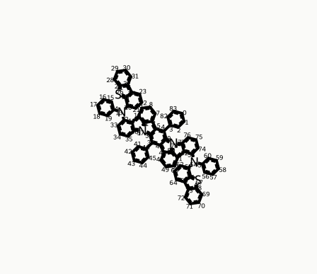 c1ccc(-c2c3c4cccc5c6c(N(c7ccccc7)c7cccc8c7sc7ccccc78)cccc6n(c3c(-c3ccccc3)c3c6cccc7c8c(N(c9ccccc9)c9cccc%10c9sc9ccccc9%10)cccc8n(c23)c76)c54)cc1